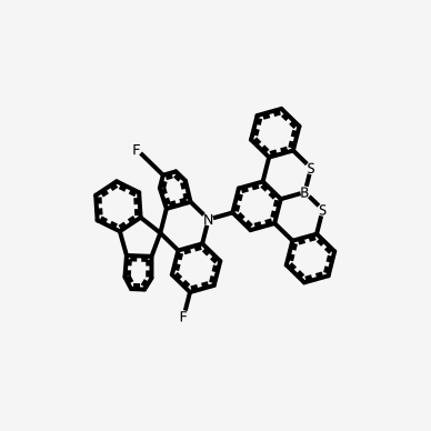 Fc1ccc2c(c1)C1(c3ccccc3-c3ccccc31)c1cc(F)ccc1N2c1cc2c3c(c1)-c1ccccc1SB3Sc1ccccc1-2